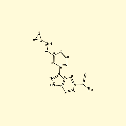 NC(=O)c1ccc2[nH]nc(-c3cccc(CNC4CC4)c3)c2c1